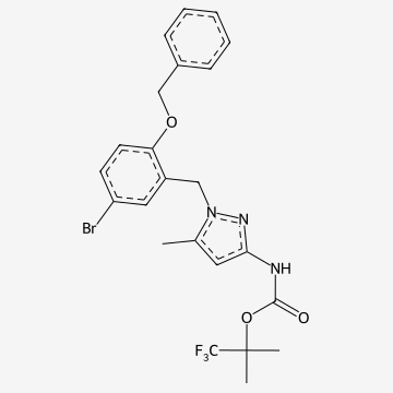 Cc1cc(NC(=O)OC(C)(C)C(F)(F)F)nn1Cc1cc(Br)ccc1OCc1ccccc1